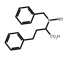 O=NN(Cc1ccccc1)C(CCc1ccccc1)C(=O)O